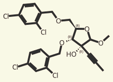 CC#C[C@]1(O)C(OC)O[C@H](COCc2ccc(Cl)cc2Cl)[C@H]1OCc1ccc(Cl)cc1Cl